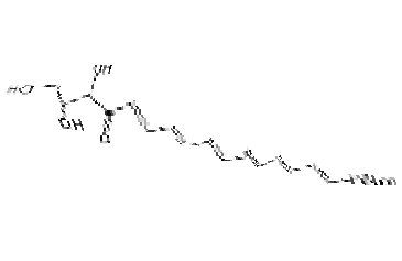 CCCCCCCCCC=CC=CC=CC=CC=CC=CC(=O)C(O)C(O)CO